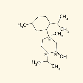 CC1CCC(C(C)C)[C]([C@]2(C)CC[C@@H](C(C)C)[C@H](O)C2)C1